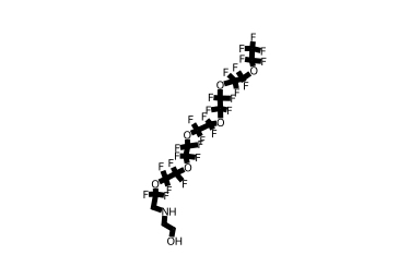 OCCNCC(F)(F)OC(F)(F)C(F)(F)OC(F)(F)C(F)(F)OC(F)(F)C(F)(F)OC(F)(F)C(F)(F)OC(F)(F)C(F)(F)OC(F)(F)C(F)(F)F